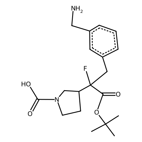 CC(C)(C)OC(=O)C(F)(Cc1cccc(CN)c1)C1CCN(C(=O)O)C1